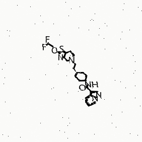 O=C(N[C@H]1CC[C@H](CCN2CCc3sc(OCC(F)F)nc3C2)CC1)c1cnn2ccccc12